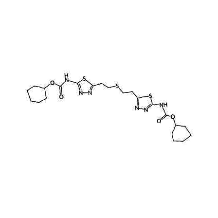 O=C(Nc1nnc(CCSCCc2nnc(NC(=O)OC3CCCCC3)s2)s1)OC1CCCCC1